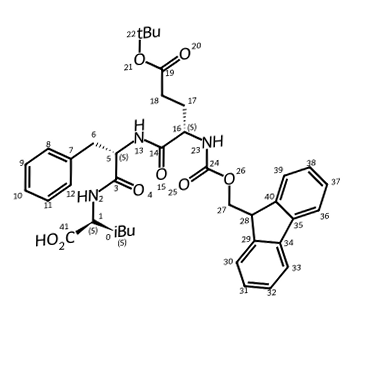 CC[C@H](C)[C@H](NC(=O)[C@H](Cc1ccccc1)NC(=O)[C@H](CCC(=O)OC(C)(C)C)NC(=O)OCC1c2ccccc2-c2ccccc21)C(=O)O